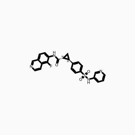 O=C(Nc1ccc2cnccc2c1F)[C@@H]1C[C@H]1c1ccc(S(=O)(=O)Nc2cccnc2)cc1